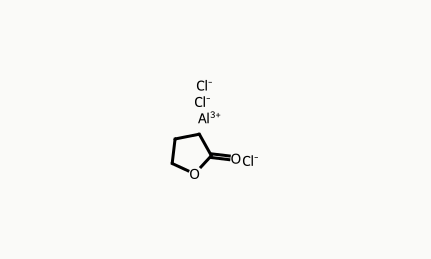 O=C1CCCO1.[Al+3].[Cl-].[Cl-].[Cl-]